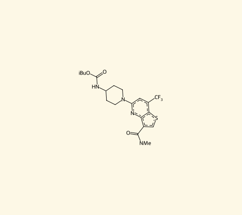 CNC(=O)c1csc2c(C(F)(F)F)cc(N3CCC(NC(=O)OCC(C)C)CC3)nc12